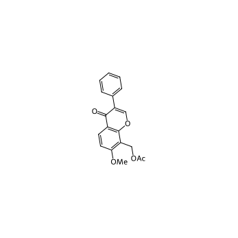 COc1ccc2c(=O)c(-c3ccccc3)coc2c1COC(C)=O